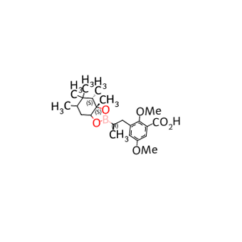 COc1cc(C[C@@H](C)B2OC3CC(C)C(C)(C)[C@H](C)[C@]3(C)O2)c(OC)c(C(=O)O)c1